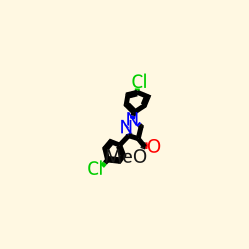 COC(=O)C1CN(c2ccc(Cl)cc2)N=C1c1ccc(Cl)cc1